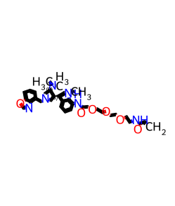 C=CC(=O)NCCOCCOCCOCC(=O)Nc1cccc2c([C@H]3CN(Cc4cccc5ocnc45)C[C@@H]3N(C)C)cn(C)c12